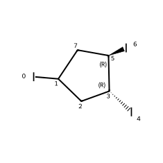 IC1C[C@@H](I)[C@H](I)C1